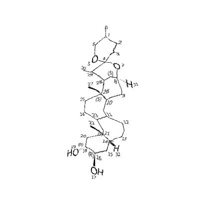 CC1CCC2(OC1)O[C@H]1CC3C4CC[C@@H]5C[C@@H](O)[C@H](O)C[C@]5(C)C4CC[C@]3(C)C1C2C